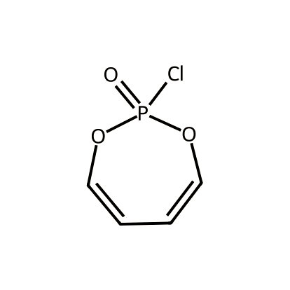 O=P1(Cl)OC=CC=CO1